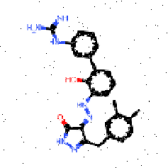 Cc1ccc(CC2=NNC(=O)C2=NNc2cccc(-c3cccc(NC(=N)N)c3)c2O)cc1C